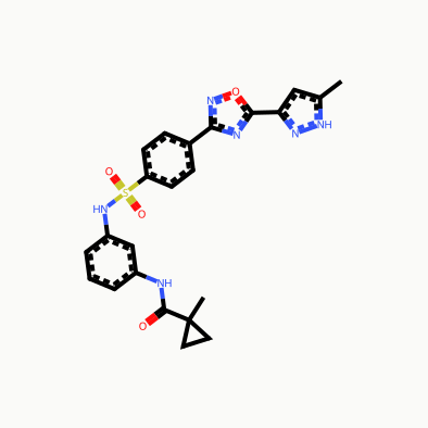 Cc1cc(-c2nc(-c3ccc(S(=O)(=O)Nc4cccc(NC(=O)C5(C)CC5)c4)cc3)no2)n[nH]1